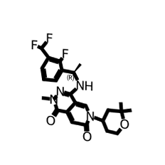 C[C@@H](Nc1nn(C)c(=O)c2cc(=O)n(C3CCOC(C)(C)C3)cc12)c1cccc(C(F)F)c1F